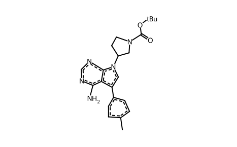 Cc1ccc(-c2cn(C3CCN(C(=O)OC(C)(C)C)C3)c3ncnc(N)c23)cc1